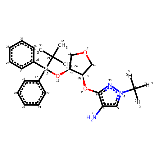 [2H]C([2H])([2H])n1cc(N)c(O[C@@H]2COC[C@@H]2O[Si](c2ccccc2)(c2ccccc2)C(C)(C)C)n1